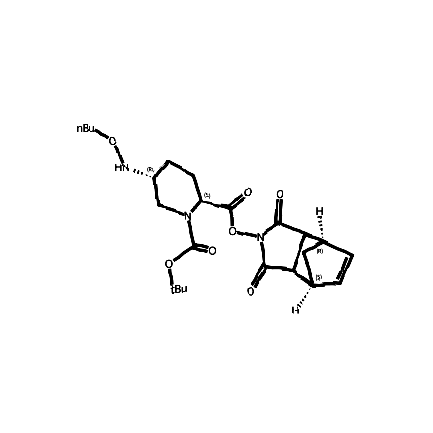 CCCCON[C@@H]1CC[C@@H](C(=O)ON2C(=O)C3C(C2=O)[C@H]2C=C[C@@H]3C2)N(C(=O)OC(C)(C)C)C1